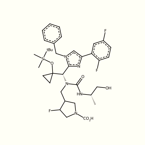 C[C@@H](CO)NC(=O)N(CC1CN(C(=O)O)CC1F)[C@@H](c1nc(-c2cc(F)ccc2F)cn1Cc1ccccc1)C1(O[Si](C)(C)C(C)(C)C)CC1